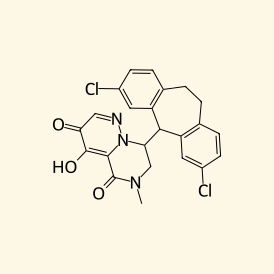 CN1CC(C2c3cc(Cl)ccc3CCc3ccc(Cl)cc32)n2ncc(=O)c(O)c2C1=O